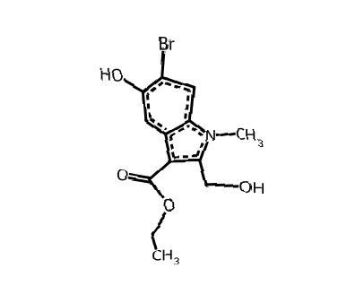 CCOC(=O)c1c(CO)n(C)c2cc(Br)c(O)cc12